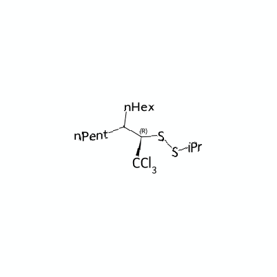 CCCCCCC(CCCCC)[C@@H](SSC(C)C)C(Cl)(Cl)Cl